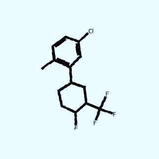 Cc1ccc(Cl)cc1C1CCC(F)C(C(F)(F)F)C1